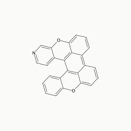 c1ccc2c(c1)oc1cccc3c4cccc5oc6cnccc6c(c54)c2c13